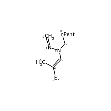 C=NN(/C=C(\C)CC)CCCCCC